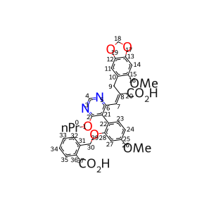 CCCOc1ncnc(/C=C(\Cc2cc3c(cc2OC)OCO3)C(=O)O)c1-c1ccc(OC)cc1OCc1ccccc1C(=O)O